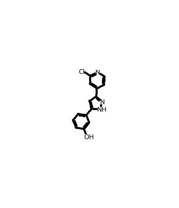 Oc1cccc(-c2cc(-c3ccnc(Cl)c3)n[nH]2)c1